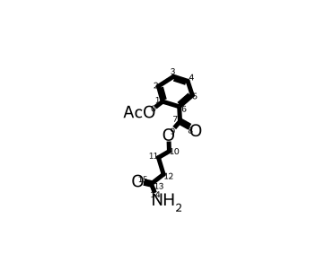 CC(=O)Oc1ccccc1C(=O)OCCCC(N)=O